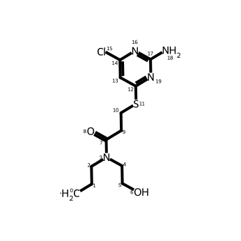 [CH2]CCN(CCO)C(=O)CCSc1cc(Cl)nc(N)n1